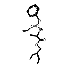 CCOP(NC(C)C(=O)OCC(CC)CC)Oc1ccccc1